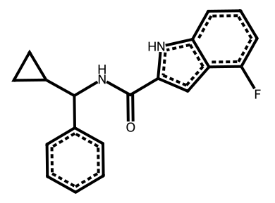 O=C(NC(c1ccccc1)C1CC1)c1cc2c(F)cccc2[nH]1